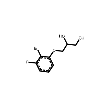 OCC(O)COc1cccc(F)c1Br